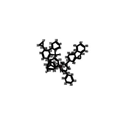 CCC1CC(C2(C)c3ccccc3-c3c(C4CC4)ccc(-c4cccc(-c5nc(-c6ccccc6)nc(-c6ccc7c(c6)oc6ccccc67)n5)c4)c32)=CC(C)C1